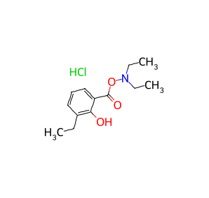 CCc1cccc(C(=O)ON(CC)CC)c1O.Cl